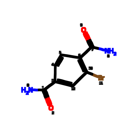 NC(=O)c1ccc(C(N)=O)c(Br)c1